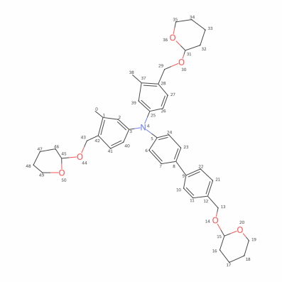 Cc1cc(N(c2ccc(-c3ccc(COC4CCCCO4)cc3)cc2)c2ccc(COC3CCCCO3)c(C)c2)ccc1COC1CCCCO1